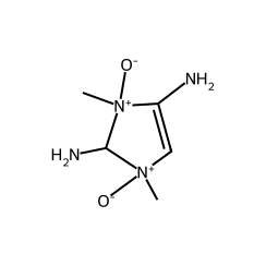 C[N+]1([O-])C=C(N)[N+](C)([O-])C1N